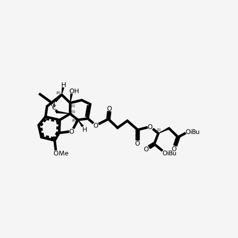 COc1ccc2c3c1O[C@H]1C(OC(=O)CCC(=O)O[C@@H](CC(=O)OCC(C)C)C(=O)OCC(C)C)=CC[C@@]4(O)[C@@H](C2)N(C)CC[C@]314